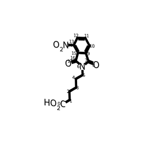 O=C(O)CCCCCN1C(=O)c2cccc([N+](=O)[O-])c2C1=O